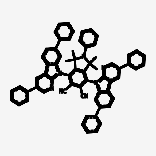 CC1(C)c2c(-n3c4cc(-c5ccccc5)ccc4c4cc(-c5ccccc5)cnc43)c(C#N)c(C#N)c(-n3c4cc(-c5ccccc5)ccc4c4cc(-c5ccccc5)cnc43)c2C(C)(C)N1c1ccccc1